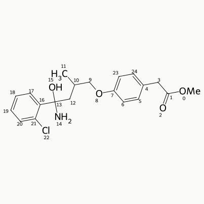 COC(=O)Cc1ccc(OCC(C)CC(N)(O)c2ccccc2Cl)cc1